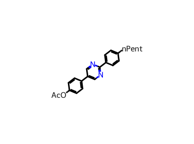 CCCCCc1ccc(-c2ncc(-c3ccc(OC(C)=O)cc3)cn2)cc1